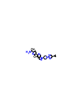 C=C(N)c1ccc(-c2cc3cnn(C4CCN(c5ncc(C6CC6)cn5)CC4)c3cn2)c(C)n1